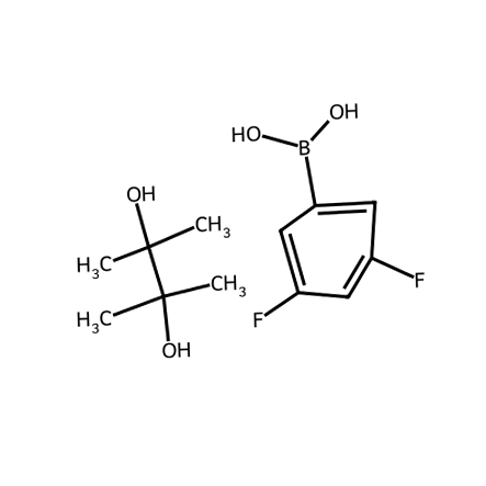 CC(C)(O)C(C)(C)O.OB(O)c1cc(F)cc(F)c1